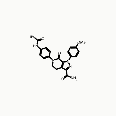 COc1ccc(-n2nc(C(N)=O)c3c2C(=O)N(c2ccc(NC(=O)C(C)C)cc2)CC3)cc1